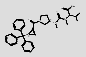 CC(C)C(C(=O)O)N(C)C(=O)N(C)[C@H]1CCN(C(=O)C2C[N@@]2C(c2ccccc2)(c2ccccc2)c2ccccc2)C1